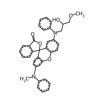 COCC(O)CN(c1ccccc1)c1ccc2c(c1)C1(OC(=O)c3ccccc31)c1ccc(N(C)c3ccccc3)cc1O2